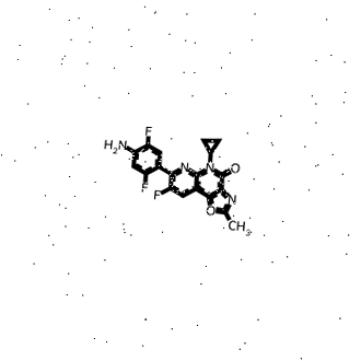 Cc1nc2c(=O)n(C3CC3)c3nc(-c4cc(F)c(N)cc4F)c(F)cc3c2o1